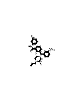 C=CCN1C[C@H](C)N([C@@H](c2cccc(OC)c2)c2cccc(C(=O)N(C)c3cccc(F)c3)c2)C[C@H]1C